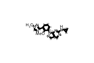 COc1c(-c2ncn(C)n2)cccc1-n1ncc2cnc(NC3CC3)nc21